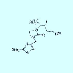 C[C@@H](CCC(C)(C)C)[C@@H](C(=O)O)N1CCN(Cc2csc(C=O)n2)C1=O